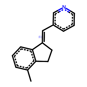 Cc1cccc2c1CC/C2=C\c1cccnc1